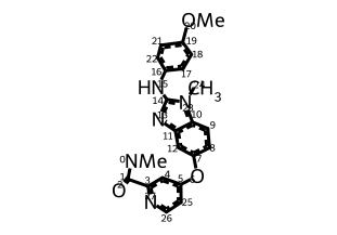 CNC(=O)c1cc(Oc2ccc3c(c2)nc(Nc2ccc(OC)cc2)n3C)ccn1